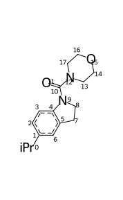 CC(C)c1ccc2c(c1)CCN2C(=O)N1CCOCC1